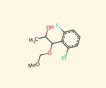 COCOC(c1c(F)cccc1Cl)C(C)O